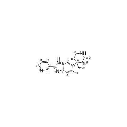 Cc1cc2nc(-c3ccnnc3)[nH]c2cc1[C@]1(C)CCN[C@H](C)C1(C)C